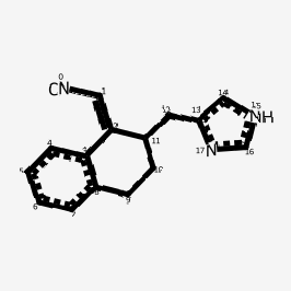 [C-]#[N+]/C=C1\c2ccccc2CCC1Cc1c[nH]cn1